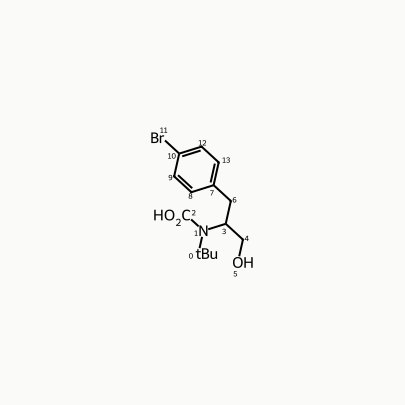 CC(C)(C)N(C(=O)O)C(CO)Cc1ccc(Br)cc1